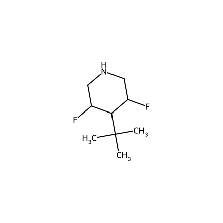 CC(C)(C)C1C(F)CNCC1F